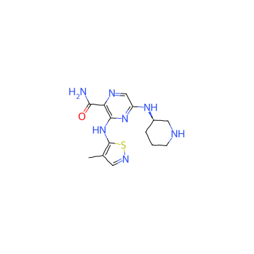 Cc1cnsc1Nc1nc(N[C@@H]2CCCNC2)cnc1C(N)=O